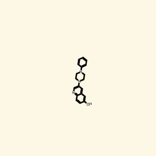 Oc1ccc2ncc(N3CCN(c4ccccc4)CC3)cc2c1